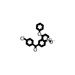 O=C(c1ccc(Cl)cc1)c1ccc2c(c1)c(Oc1ccccc1)cc[n+]2[O-]